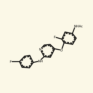 CC(=O)Nc1ccc(Oc2ccnc(Nc3ccc(F)cc3)c2)c(F)c1